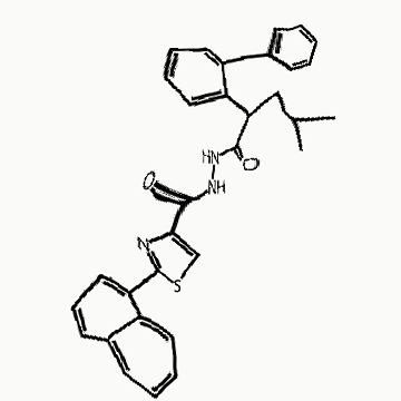 CC(C)CC(C(=O)NNC(=O)c1csc(-c2cccc3ccccc23)n1)c1ccccc1-c1ccccc1